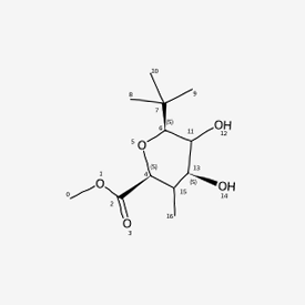 COC(=O)[C@H]1O[C@@H](C(C)(C)C)C(O)[C@@H](O)C1C